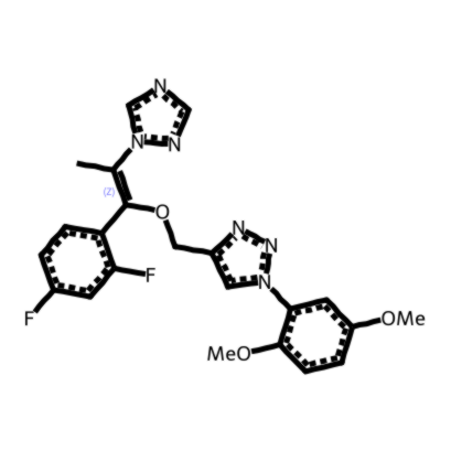 COc1ccc(OC)c(-n2cc(CO/C(=C(/C)n3cncn3)c3ccc(F)cc3F)nn2)c1